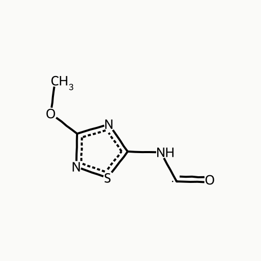 COc1nsc(N[C]=O)n1